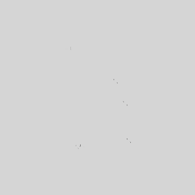 CCCCc1ccc(NC(=O)Nc2c[nH]c(COC)c2)cc1